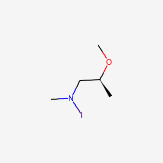 CO[C@@H](C)CN(C)I